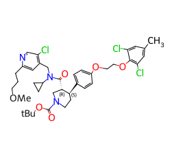 COCCCc1cc(CN(C(=O)[C@H]2CN(C(=O)OC(C)(C)C)CC[C@@H]2c2ccc(OCCOc3c(Cl)cc(C)cc3Cl)cc2)C2CC2)c(Cl)cn1